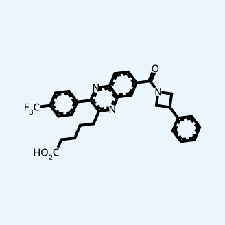 O=C(O)CCCCc1nc2cc(C(=O)N3CC(c4ccccc4)C3)ccc2nc1-c1ccc(C(F)(F)F)cc1